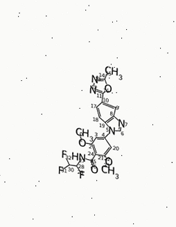 COc1cc(-n2cnc3cc(-c4nnc(C)o4)ccc32)cc(OC)c1C(=O)NC(F)C(F)F